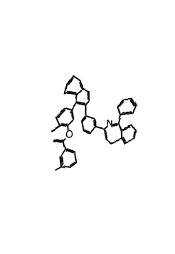 C=C(Oc1cc(-c2c(-c3cccc(C4=CCc5ccccc5C(c5ccccc5)=N4)c3)ccc3ccccc23)ccc1C)c1cccc(C)c1